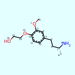 COc1cc(CC[C@@H](C)N)ccc1OCCO